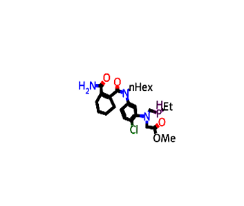 CCCCCCN(C(=O)C1=C(C(N)=O)CCCC1)c1ccc(Cl)c(N(CPCC)CC(=O)OC)c1